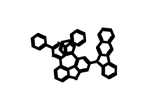 c1ccc(-c2nc(-c3ccccc3)nc(-c3cccc4oc5cc(-n6c7ccccc7c7cc8ccccc8cc76)cc(-c6ccccc6)c5c34)n2)cc1